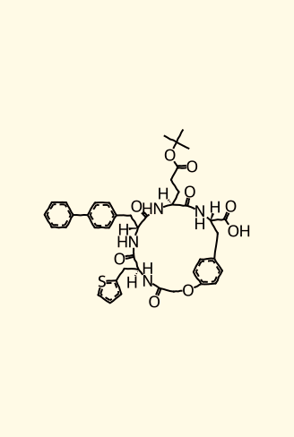 CC(C)(C)OC(=O)CC[C@@H]1NC(=O)[C@@H](Cc2ccc(-c3ccccc3)cc2)NC(=O)[C@H](Cc2cccs2)NC(=O)COc2ccc(cc2)C[C@@H](C(=O)O)NC1=O